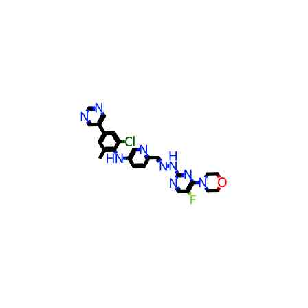 Cc1cc(-c2cncnc2)cc(Cl)c1Nc1ccc(/C=N/Nc2ncc(F)c(N3CCOCC3)n2)nc1